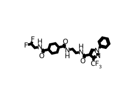 O=C(NCCNC(=O)C1CCC(C(=O)NCC(F)F)CC1)c1cn(-c2ccccc2)nc1C(F)(F)F